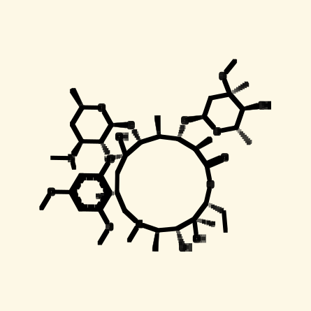 CC[C@H]1OC(=O)[C@H](C)[C@@H](O[C@H]2C[C@@](C)(OC)[C@@H](O)[C@H](C)O2)[C@H](C)[C@@H](O[C@@H]2O[C@H](C)C[C@H](N(C)C)[C@H]2Oc2cc(OC)cc(OC)c2)[C@](C)(O)C[C@@H](C)CN(C)[C@H](C)[C@@H](O)[C@]1(C)O